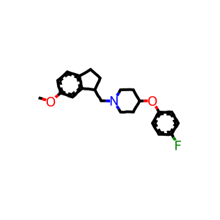 COc1ccc2c(c1)C(CN1CCC(Oc3ccc(F)cc3)CC1)CC2